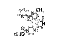 Cc1nc(-c2cc(CN3CCN(C(=O)OC(C)(C)C)CC3)cnc2F)c2ccn(C3CCCCO3)c2n1